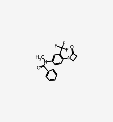 CN(C(=O)c1ccccc1)c1ccc(N2CCC2=O)c(C(F)(F)F)c1